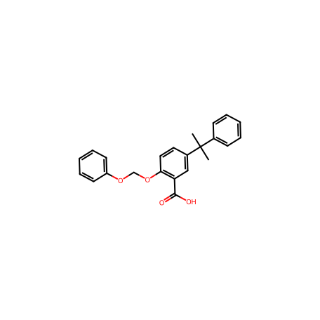 CC(C)(c1ccccc1)c1ccc(OCOc2ccccc2)c(C(=O)O)c1